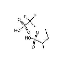 CCC(C)S(=O)(=O)O.O=S(=O)(O)C(F)(F)F